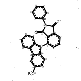 O=C1c2cccc(-n3c4ccccc4c4cc(C(F)(F)F)ccc43)c2C(=O)N1c1ccccc1